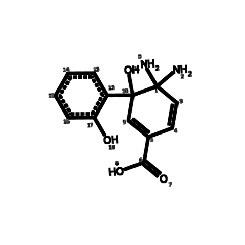 NC1(N)C=CC(C(=O)O)=CC1(O)c1ccccc1O